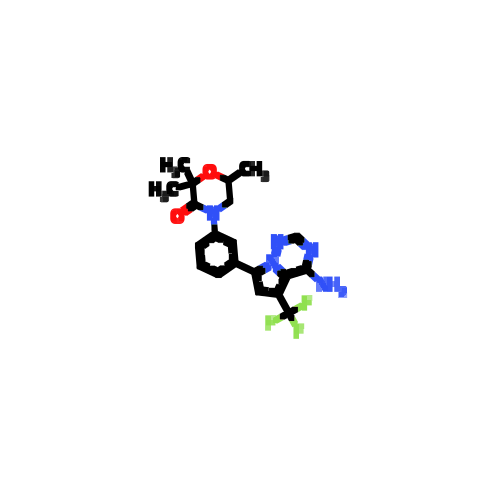 CC1CN(c2cccc(-c3cc(C(F)(F)F)c4c(N)ncnn34)c2)C(=O)C(C)(C)O1